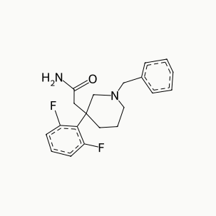 NC(=O)CC1(c2c(F)cccc2F)CCCN(Cc2ccccc2)C1